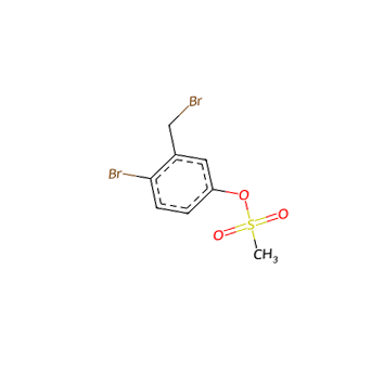 CS(=O)(=O)Oc1ccc(Br)c(CBr)c1